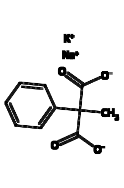 CC(C(=O)[O-])(C(=O)[O-])c1ccccc1.[K+].[Na+]